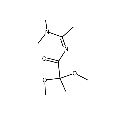 COC(C)(OC)C(=O)N=C(C)N(C)C